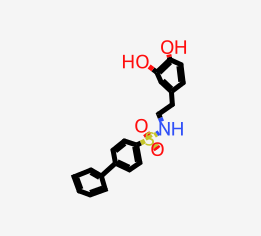 O=S(=O)(NCCc1ccc(O)c(O)c1)c1ccc(-c2ccccc2)cc1